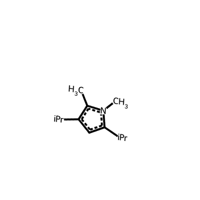 Cc1c(C(C)C)cc(C(C)C)n1C